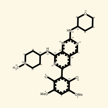 COc1cc(OC)c(Cl)c(-c2cc3cnc(NC4CCCOC4)nc3c(NC3CCN(C)CC3)n2)c1Cl